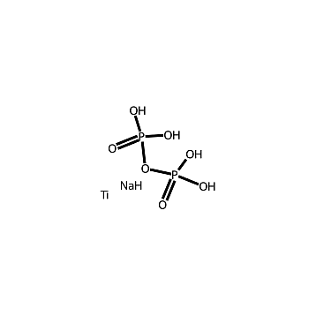 O=P(O)(O)OP(=O)(O)O.[NaH].[Ti]